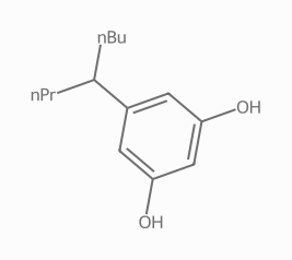 CCCCC(CCC)c1cc(O)cc(O)c1